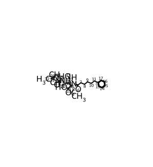 CCC[C@](NC(=O)CCCCCc1ccccc1)(C(=O)O)[C@@H](CO)CNC(=O)OC(C)(C)C